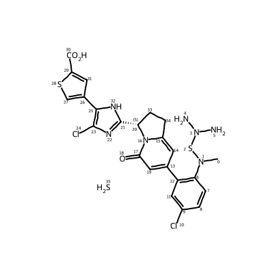 CN(SN(N)N)c1ccc(Cl)cc1-c1cc2n(c(=O)c1)[C@H](c1nc(Cl)c(-c3csc(C(=O)O)c3)[nH]1)CC2.S